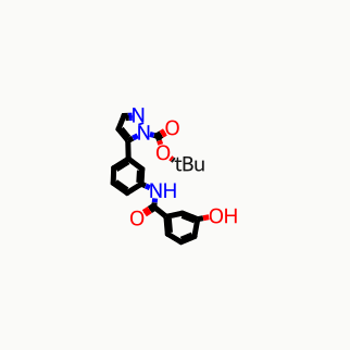 CC(C)(C)OC(=O)n1nccc1-c1cccc(NC(=O)c2cccc(O)c2)c1